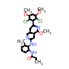 C=CC(=O)Nc1cccc(C)c1Nc1cc2c(OC)nc(-c3c(Cl)c(OC)cc(OC)c3Cl)cc2cn1